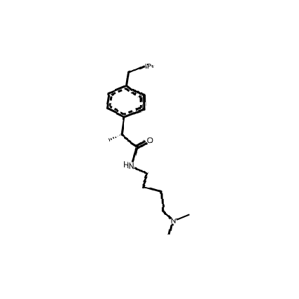 CC(C)Cc1ccc([C@@H](C)C(=O)NCCCCN(C)C)cc1